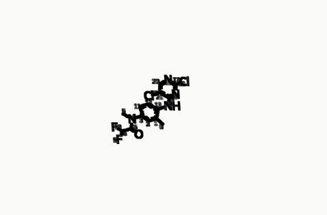 Cc1cc(N(C)C(=O)C(F)F)ccc1Nc1nc(Cl)ncc1Cl